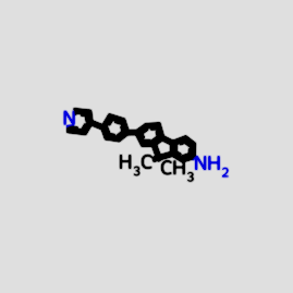 CC1(C)c2cc(N)ccc2-c2ccc(-c3ccc(-c4ccncc4)cc3)cc21